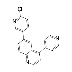 Clc1ccc(-c2ccc3nccc(-c4ccncc4)c3c2)cn1